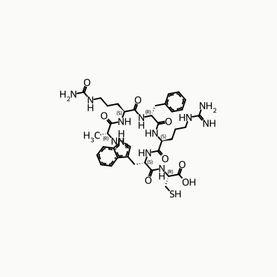 C[C@@H](N)C(=O)N[C@@H](CCCNC(N)=O)C(=O)N[C@H](Cc1ccccc1)C(=O)N[C@@H](CCCNC(=N)N)C(=O)N[C@@H](Cc1c[nH]c2ccccc12)C(=O)N[C@@H](CS)C(=O)O